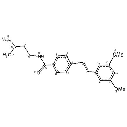 COc1cc(/C=C/c2ccc(C(=O)NCCN(C)C)cc2)cc(OC)c1